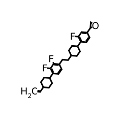 C=CC1CCC(c2ccc(CCC3CCC(c4ccc(C5CO5)cc4F)CC3)c(F)c2F)CC1